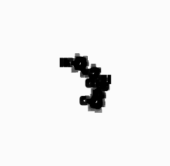 N#Cc1cccc(CN2CC[C@H](NS(=O)(=O)c3cc4c(Cl)cccc4s3)C2=O)c1